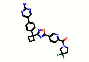 Nc1ncc(-c2ccc(C3(c4noc(-c5ccc(C(=O)N6CCC(F)(F)C6)nc5)n4)CCC3)cc2)cn1